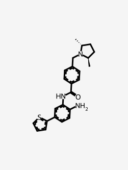 C[C@@H]1CC[C@@H](C)N1Cc1ccc(C(=O)Nc2cc(-c3cccs3)ccc2N)cc1